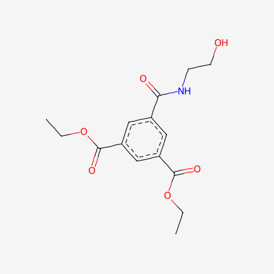 CCOC(=O)c1cc(C(=O)NCCO)cc(C(=O)OCC)c1